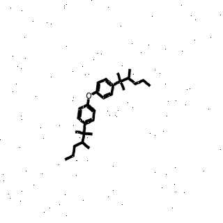 CCCC(C)C(C)(C)c1ccc(Oc2ccc(C(C)(C)C(C)CCC)cc2)cc1